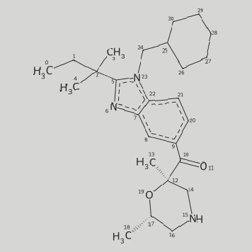 CCC(C)(C)c1nc2cc(C(=O)[C@@]3(C)CNC[C@H](C)O3)ccc2n1CC1CCCCC1